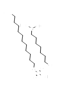 CCCCCCCCCCCCOS(=O)(=O)O.CCCCCCCCN(C)C